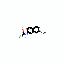 CC(C)C(=O)Nc1ccc2ccc(S(=O)(=O)O)cc2c1